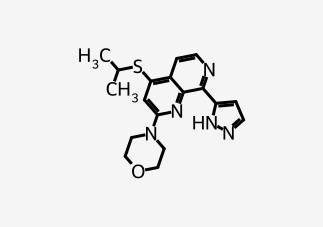 CC(C)Sc1cc(N2CCOCC2)nc2c(-c3ccn[nH]3)nccc12